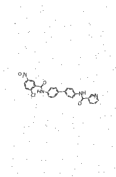 O=C(Nc1ccc(-c2ccc(NC(=O)c3cc([N+](=O)[O-])ccc3Cl)cc2)cc1)c1cccnc1